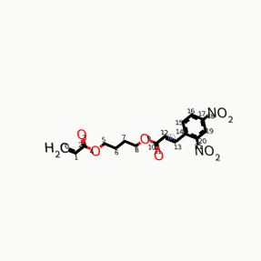 C=CC(=O)OCCCCOC(=O)/C=C/c1ccc([N+](=O)[O-])cc1[N+](=O)[O-]